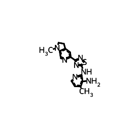 Cc1ccnc(Nc2nc(-c3cc4c(cn3)N(C)CC4)ns2)c1N